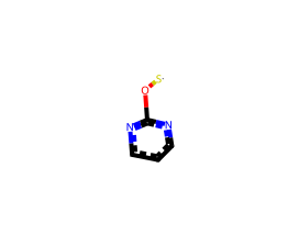 [S]Oc1ncccn1